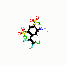 Nc1cc(C(F)=C(F)Cl)c(S(=O)(=O)Cl)cc1S(=O)(=O)Cl